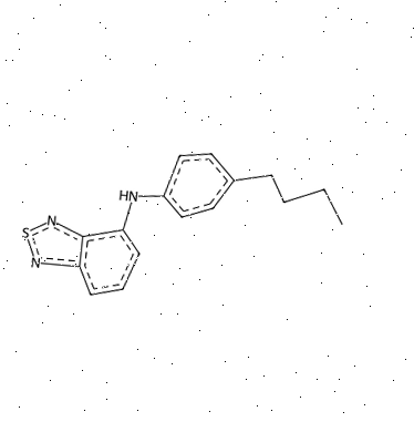 CCCCc1ccc(Nc2cccc3nsnc23)cc1